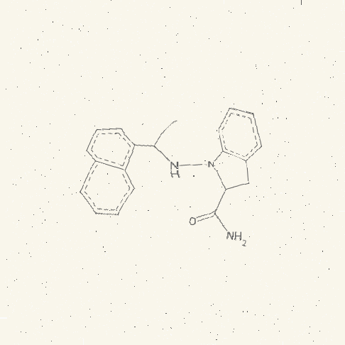 CC(NN1c2ccccc2CC1C(N)=O)c1cccc2ccccc12